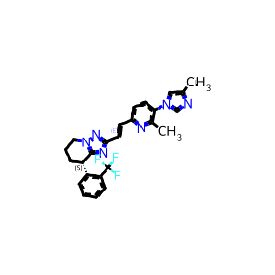 Cc1cn(-c2ccc(/C=C/c3nc4n(n3)CCC[C@H]4c3ccccc3C(F)(F)F)nc2C)cn1